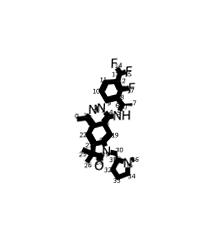 Cc1nnc(N[C@H](C)c2cccc(C(F)F)c2F)c2cc3c(cc12)C(C)(C)C(=O)N3C[C@@H]1CCCN1C